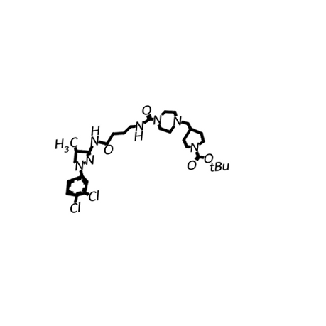 CC1CN(c2ccc(Cl)c(Cl)c2)N=C1NC(=O)CCCNC(=O)N1CCN(CC2CCN(C(=O)OC(C)(C)C)CC2)CC1